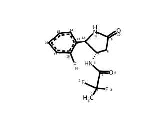 CC(F)(F)C(=O)N[C@H]1CC(=O)N[C@@H]1c1ccccc1F